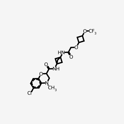 CN1CC(C(=O)NC23CC(NC(=O)COC4CC(OC(F)(F)F)C4)(C2)C3)Oc2ccc(Cl)cc21